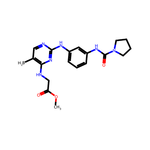 Bc1cnc(Nc2cccc(NC(=O)N3CCCC3)c2)nc1NCC(=O)OC